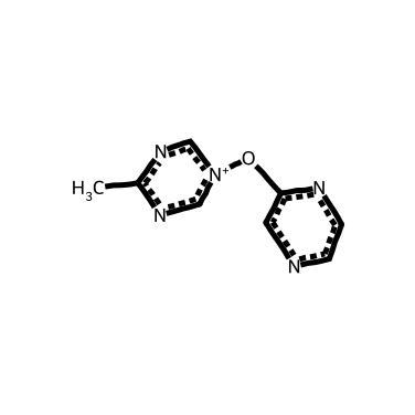 Cc1nc[n+](Oc2cnccn2)cn1